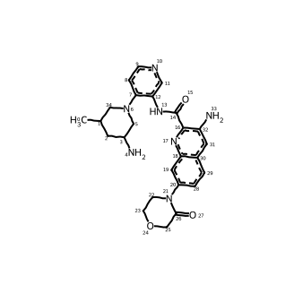 CC1CC(N)CN(c2ccncc2NC(=O)c2nc3cc(N4CCOCC4=O)ccc3cc2N)C1